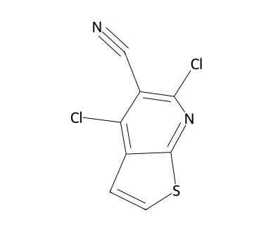 N#Cc1c(Cl)nc2sccc2c1Cl